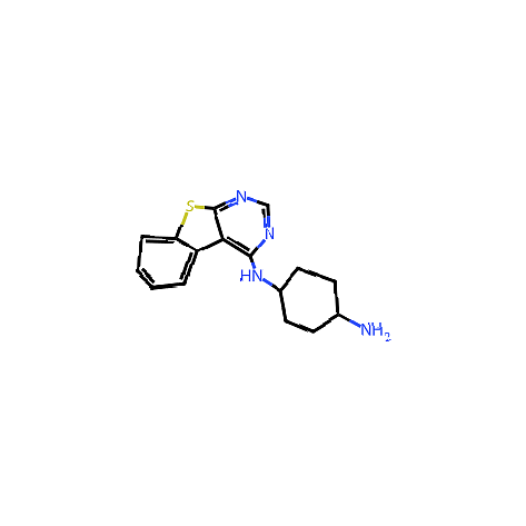 NC1CCC(Nc2ncnc3sc4ccccc4c23)CC1